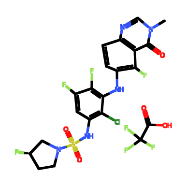 Cn1cnc2ccc(Nc3c(F)c(F)cc(NS(=O)(=O)N4CC[C@@H](F)C4)c3Cl)c(F)c2c1=O.O=C(O)C(F)(F)F